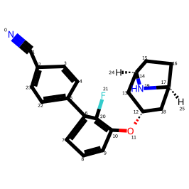 N#Cc1ccc(-c2cccc(O[C@@H]3C[C@H]4CC[C@@H](C3)N4)c2F)cc1